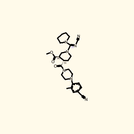 COC(=O)[C@H]1CN(/C(=N/C#N)N2CCCCC2)CC[C@@H]1C(=O)N1CCN(c2ccc(C#N)cc2C)CC1